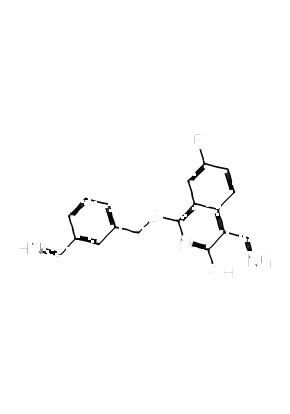 N=Cc1cccc(CSc2nc(O)c(C=N)c3ccc(F)cc23)c1